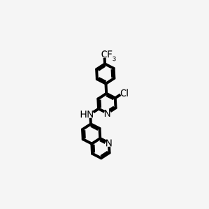 FC(F)(F)c1ccc(-c2cc(Nc3ccc4cccnc4c3)ncc2Cl)cc1